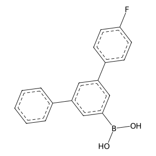 OB(O)c1cc(-c2ccccc2)cc(-c2ccc(F)cc2)c1